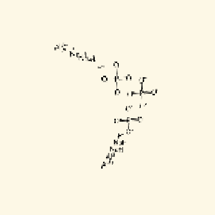 O=P([O-])([O-])[O-].O=P([O-])([O-])[O-].O=P([O-])([O-])[O-].[Al+3].[Al+3].[Al+3].[Al+3].[F-].[F-].[F-].[NaH].[NaH].[NaH].[NaH]